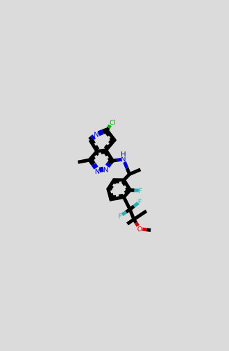 COC(C)(C)C(F)(F)c1cccc(C(C)Nc2nnc(C)c3cnc(Cl)cc23)c1F